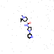 CN1CC[C@H](C(=O)NC2CCN(c3cccnc3)C2)CC12CC2